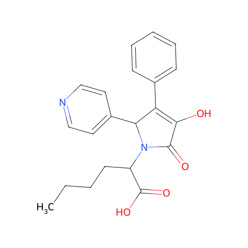 CCCCC(C(=O)O)N1C(=O)C(O)=C(c2ccccc2)C1c1ccncc1